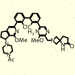 COc1nc(-c2cccc(-c3cccc(-c4cc5c(c(OC)n4)[C@@H](N4CCN(C(C)=O)CC4)CC5)c3Cl)c2C)cnc1CN1CC2(CCC(=O)N2)C1